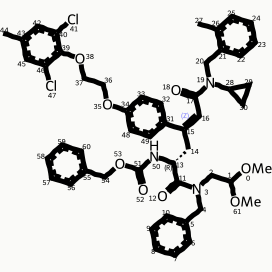 COC(CN(Cc1ccccc1)C(=O)[C@@H](C/C(=C/C(=O)N(Cc1ccccc1C)C1CC1)c1ccc(OCCOc2c(Cl)cc(C)cc2Cl)cc1)NC(=O)OCc1ccccc1)OC